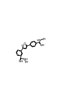 CC(C)NC(=N)c1ccc(-c2cc(-c3cccc(C(=N)NC(C)C)c3)no2)cc1